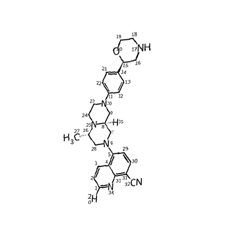 [2H]c1ccc2c(N3C[C@@H]4CN(c5ccc([C@@H]6CNCCO6)cc5)CCN4[C@@H](C)C3)ccc(C#N)c2n1